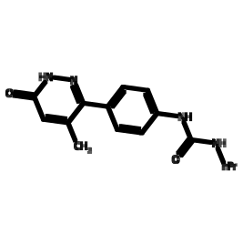 CCCNC(=O)Nc1ccc(-c2n[nH]c(=O)cc2C)cc1